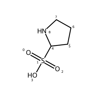 O=S(=O)(O)C1[CH]CCN1